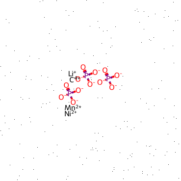 O=P([O-])([O-])[O-].O=P([O-])([O-])[O-].O=P([O-])([O-])[O-].[C+4].[Li+].[Mn+2].[Ni+2]